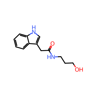 O=C(Cc1c[nH]c2ccccc12)NCCCO